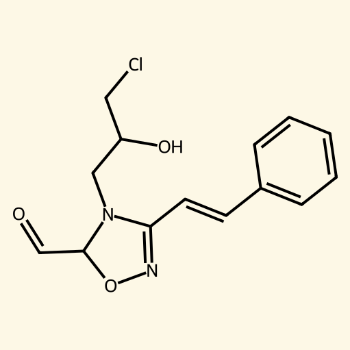 O=CC1ON=C(C=Cc2ccccc2)N1CC(O)CCl